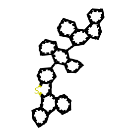 c1ccc2c(c1)ccc1cc(-c3c4ccccc4c(-c4ccc5sc6c7ccccc7c7ccccc7c6c5c4)c4ccccc34)c3ccccc3c12